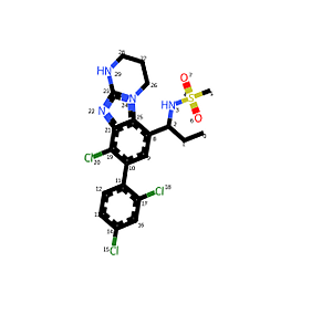 CCC(NS(C)(=O)=O)c1cc(-c2ccc(Cl)cc2Cl)c(Cl)c2nc3n(c12)CCCN3